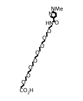 CNc1ccc(C(=O)NCCOCCOCCOCCOCCOCCOCCOCCOCCC(=O)O)cn1